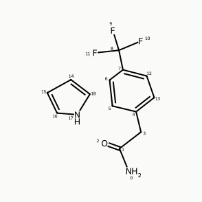 NC(=O)Cc1ccc(C(F)(F)F)cc1.c1cc[nH]c1